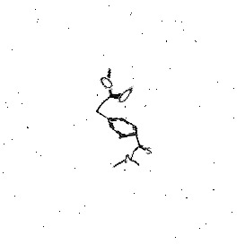 COC(=O)Cc1ccc(C(=S)N(C)C)cc1